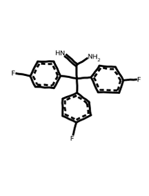 N=C(N)C(c1ccc(F)cc1)(c1ccc(F)cc1)c1ccc(F)cc1